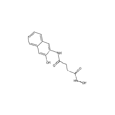 O=C(CCC(=O)Nc1cc2ccccc2cc1O)NO